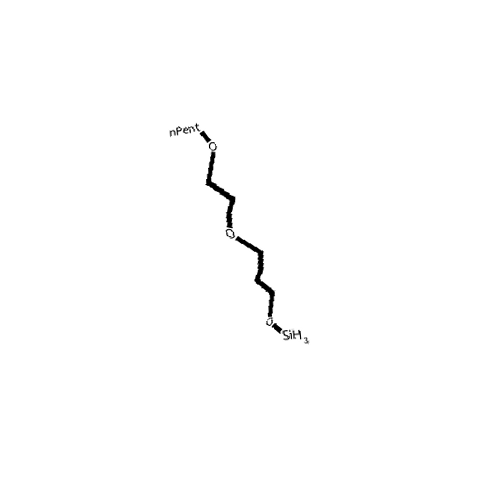 CCCCCOCCOCCCO[SiH3]